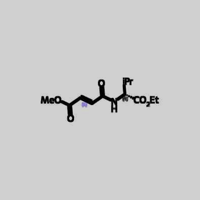 CCOC(=O)[C@H](NC(=O)/C=C/C(=O)OC)C(C)C